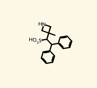 CC1(C(C(c2ccccc2)c2ccccc2)S(=O)(=O)O)CNC1